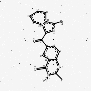 CCCn1c(C)nc2ccc(C(=O)c3nc(Br)c4ccccn34)cc2c1=O